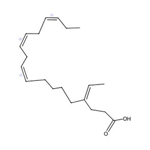 CC=C(CCCC/C=C\C/C=C\C/C=C\CC)CCC(=O)O